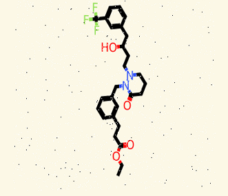 CCOC(=O)CCc1cccc(CN2C(=O)CCCN2CCC(O)Cc2cccc(C(F)(F)F)c2)c1